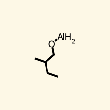 CCC(C)C[O][AlH2]